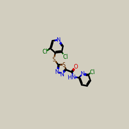 O=C(Nc1cccc(Cl)n1)c1nnc(Sc2c(Cl)cncc2Cl)s1